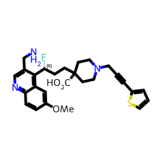 COc1ccc2ncc(CN)c([C@H](F)CCC3(C(=O)O)CCN(CC#Cc4cccs4)CC3)c2c1